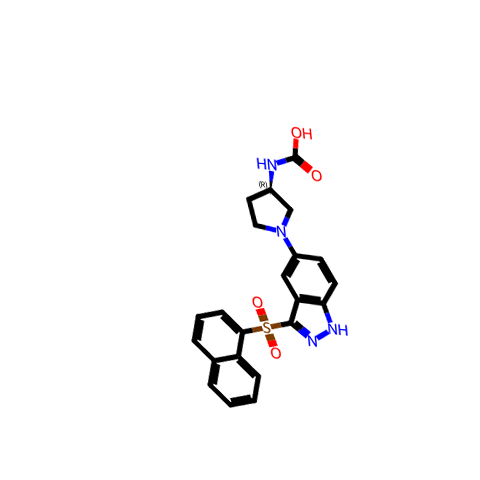 O=C(O)N[C@@H]1CCN(c2ccc3[nH]nc(S(=O)(=O)c4cccc5ccccc45)c3c2)C1